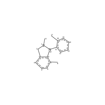 CB1Cc2cccc(C)c2N1c1ccccc1C